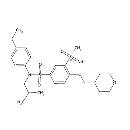 CCc1ccc(N(CC(C)C)S(=O)(=O)c2ccc(OCC3CCOCC3)c([S@](C)(=N)=O)c2)cc1